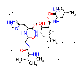 CN[C@H](C(=O)NCC(=O)N[C@@H](Cc1c[nH]cn1)C(=O)N[C@@H](CC(C)C)[C@@H](O)CC(=O)N[C@@H](CC(C)C)C(N)=O)C(C)C